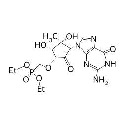 CCOP(=O)(CO[C@H]1C(=O)[C@@H](n2cnc3c(=O)[nH]c(N)nc32)[C@](C)(O)[C@H]1O)OCC